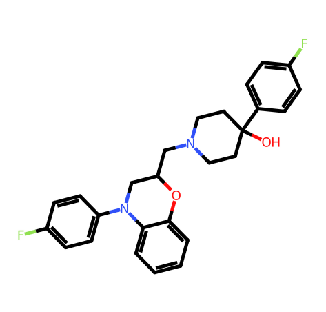 OC1(c2ccc(F)cc2)CCN(CC2CN(c3ccc(F)cc3)c3ccccc3O2)CC1